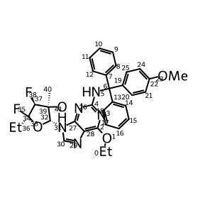 CCOc1nc(NC(c2ccccc2)(c2ccccc2)c2ccc(OC)cc2)nc2c1ncn2[C@@H]1O[C@](F)(CC)[C@@H](F)[C@@]1(C)O